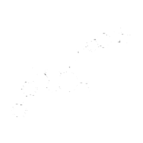 CC(=O)N1CC[C@H]2CC[C@@H](C(=O)N(C)c3ccc(-c4ccccc4)cc3)N2C(=O)C(CNC(=O)c2cc3cc(C(F)(F)P(=O)(O)O)ccc3s2)C1